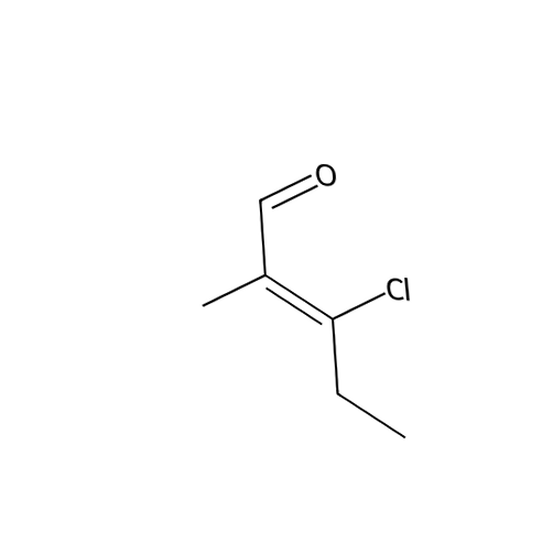 CC/C(Cl)=C(\C)C=O